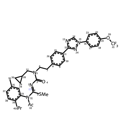 CS/C(=N\C(=O)N(CCc1ccc(-c2ncn(-c3ccc(OC(F)(F)F)cc3)n2)cc1)CC1CC1)N(C(C)=O)c1cc(C)ccc1C(C)C